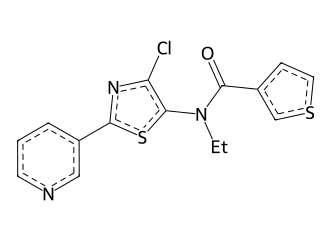 CCN(C(=O)c1ccsc1)c1sc(-c2cccnc2)nc1Cl